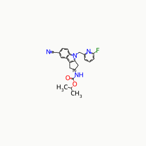 CC(C)OC(=O)N[C@@H]1Cc2c(n(Cc3cccc(F)n3)c3ccc(C#N)cc23)C1